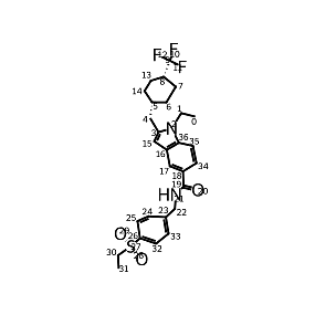 CCn1c(C[C@H]2CC[C@@H](C(F)(F)F)CC2)cc2cc(C(=O)NCc3ccc(S(=O)(=O)CC)cc3)ccc21